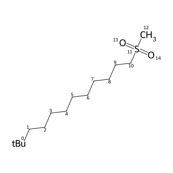 CC(C)(C)CCCCCCCCCCS(C)(=O)=O